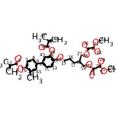 C=C(C)C(=O)Oc1ccc(-c2ccc(OCCCC(COC(=O)C(=O)OC)COC(=O)C(=O)OC)c(OC(=O)C(=C)C)c2)cc1C